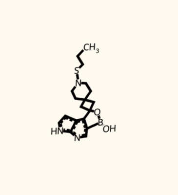 CCCSN1CCC2(CC1)CC1(C2)OB(O)c2cnc3[nH]ccc3c21